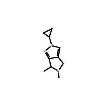 CC1c2nn(C3CC3)cc2CN1C